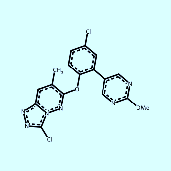 COc1ncc(-c2cc(Cl)ccc2Oc2nn3c(Cl)nnc3cc2C)cn1